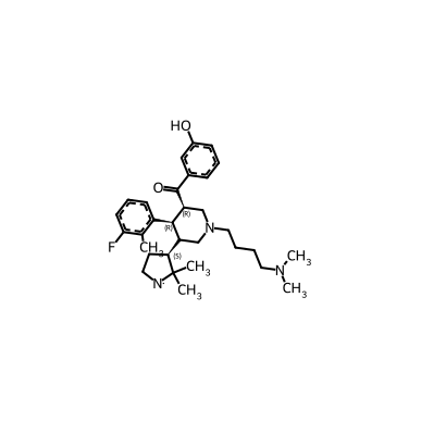 Cc1c(F)cccc1[C@@H]1C([C@@H]2CC[N]C2(C)C)CN(CCCCN(C)C)C[C@@H]1C(=O)c1cccc(O)c1